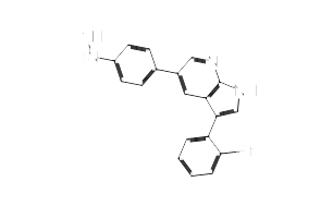 CCc1ccccc1-c1c[nH]c2ncc(-c3ccc(NS)cc3)cc12